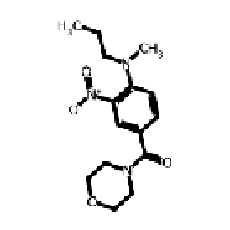 CCCN(C)c1ccc(C(=O)N2CCOCC2)cc1[N+](=O)[O-]